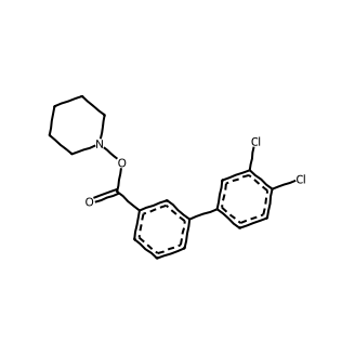 O=C(ON1CCCCC1)c1cccc(-c2ccc(Cl)c(Cl)c2)c1